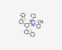 N#Cc1ccccc1-c1cc(-c2ccccc2)nc(-c2cc(-c3cccc4c3sc3ccccc34)cc(-c3cccc4c3sc3ccccc34)c2)n1